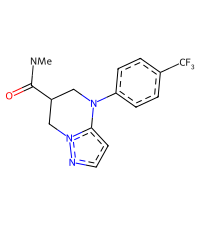 CNC(=O)C1CN(c2ccc(C(F)(F)F)cc2)c2ccnn2C1